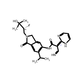 CC(C)c1cc2c(cc1NC(=O)/C(C=N)=C1\N=CC=CN1)CN(C[C@@H](F)C(C)(C)O)C2=O